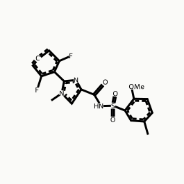 COc1ccc(C)cc1S(=O)(=O)NC(=O)c1cn(C)c(-c2c(F)cccc2F)n1